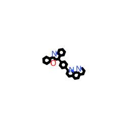 c1cnc2c(c1)ccc1ccc(-c3ccc(-c4c5ccccc5nc5c4oc4ccccc45)cc3)nc12